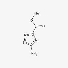 CC(C)(C)OC(=O)n1nnc(N)n1